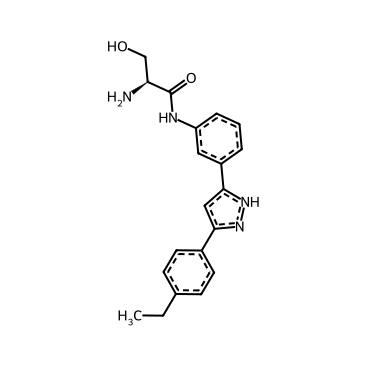 CCc1ccc(-c2cc(-c3cccc(NC(=O)[C@@H](N)CO)c3)[nH]n2)cc1